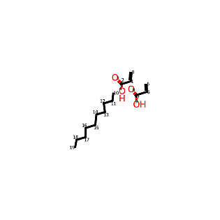 C=CC(=O)O.C=CC(=O)O.CCCCCCCCCC